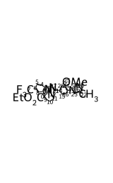 CCOC(=O)C1(c2cccc(C(F)(F)F)c2)CCCn2c(-c3ccc(-n4cnc(C)c4)c(OC)c3)nnc21